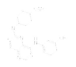 COC1CCC(Nc2ncc3ncnc(Nc4cccc(C)c4)c3n2)CC1